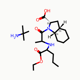 CC(C)(C)N.CCCC(NC(C)C(=O)N1[C@H](C(=O)O)C[C@@H]2CCCC[C@@H]21)C(=O)OCC